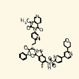 Cn1c(=O)n(-c2ccc(CC[C@H](NC(=O)c3cc(F)c(NS(=O)(=O)c4ccc(-c5ccnc(C6CCOCC6)c5)cn4)cc3F)C(=O)Oc3ccccc3)nc2)c(=O)c2ccncc21